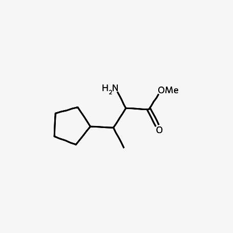 COC(=O)C(N)C(C)C1CCCC1